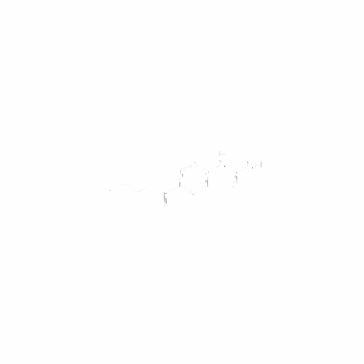 CCCCOC(=O)c1ccc(NC(N)=S)cc1